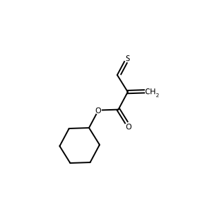 C=C(C=S)C(=O)OC1CCCCC1